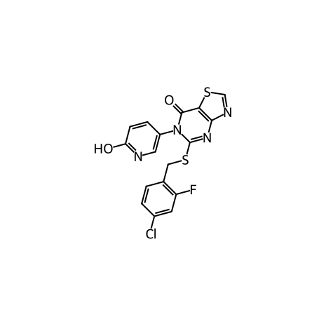 O=c1c2scnc2nc(SCc2ccc(Cl)cc2F)n1-c1ccc(O)nc1